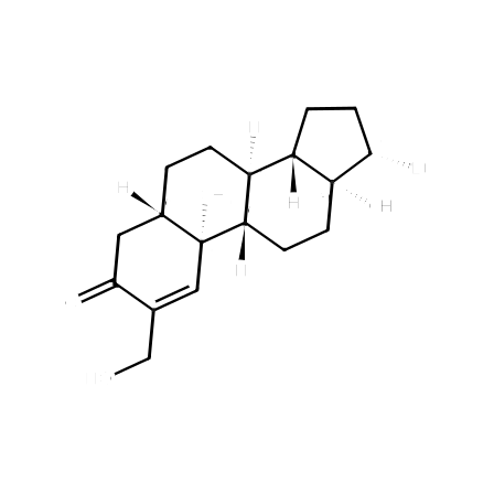 CC[C@H]1CC[C@H]2[C@@H]3CC[C@H]4CC(=O)C(CO)=C[C@]4(C)[C@H]3CC[C@]12C